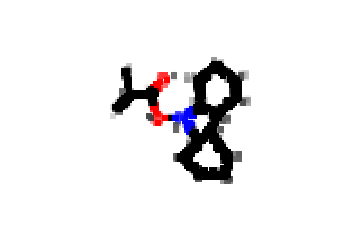 C=C(C)C(=O)On1c2ccccc2c2ccccc21